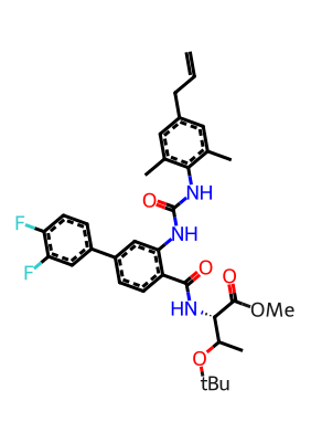 C=CCc1cc(C)c(NC(=O)Nc2cc(-c3ccc(F)c(F)c3)ccc2C(=O)N[C@H](C(=O)OC)C(C)OC(C)(C)C)c(C)c1